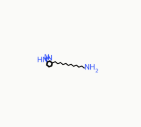 NCCCCCCCCCCCCc1cccc2[nH]nnc12